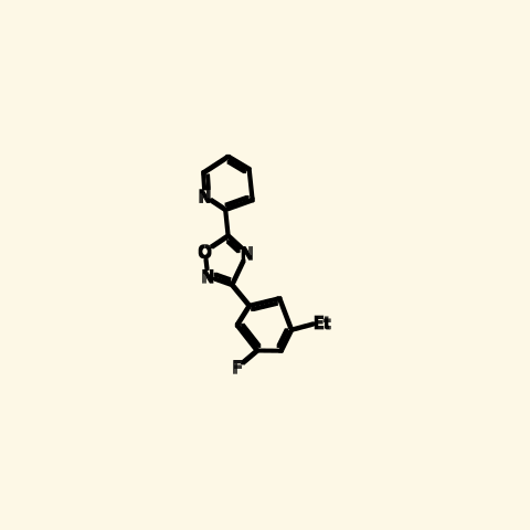 CCc1cc(F)cc(-c2noc(-c3ccccn3)n2)c1